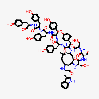 CC1CCC(N[C@H](C=O)Cc2c[nH]c3ccccc23)CC(N[C@@H](CO)C(=O)N[C@@H](CO)C(=O)NC(C=O)CO)CCC(NC(Cc2ccc(O)cc2)C(=O)N[C@@H](Cc2ccc(O)cc2)C(=O)NC(Cc2ccc(O)cc2)C(=O)N[C@@H](Cc2ccc(O)cc2)C(=O)NC(Cc2ccc(O)cc2)C(=O)N[C@H](C=O)Cc2ccc(O)cc2)C1